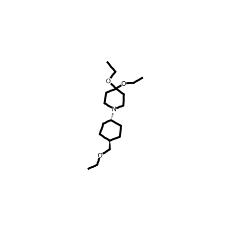 CCOC[C@H]1CC[C@H](N2CCC(OCC)(OCC)CC2)CC1